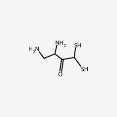 NCC(N)C(=O)C(S)S